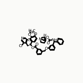 COc1ccc([C@H](Cc2c(Cl)cncc2Cl)OC(=O)c2cccc(COc3cccc([C@@H](NC(=O)O[C@H]4CN5CCC4CC5)c4ccccc4)c3)c2)cc1OC